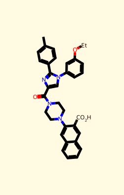 CCOc1cccc(-n2cc(C(=O)N3CCN(c4cc5ccccc5cc4C(=O)O)CC3)nc2-c2ccc(C)cc2)c1